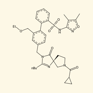 CCCCC1=N[C@]2(CCN(C(=O)C3CC3)C2)C(=O)N1Cc1ccc(-c2ccccc2S(=O)(=O)Nc2noc(C)c2C)c(COCC)c1